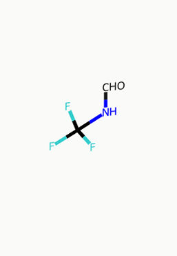 O=CNC(F)(F)F